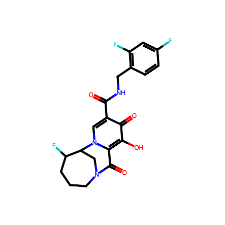 O=C(NCc1ccc(F)cc1F)c1cn2c(c(O)c1=O)C(=O)N1CCCC(F)C2C1